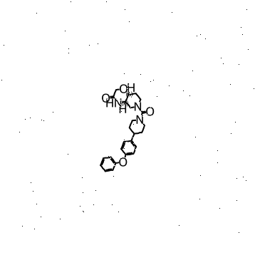 O=C1CO[C@H]2CCN(C(=O)N3CCC(c4ccc(Oc5ccccc5)cc4)CC3)C[C@H]2N1